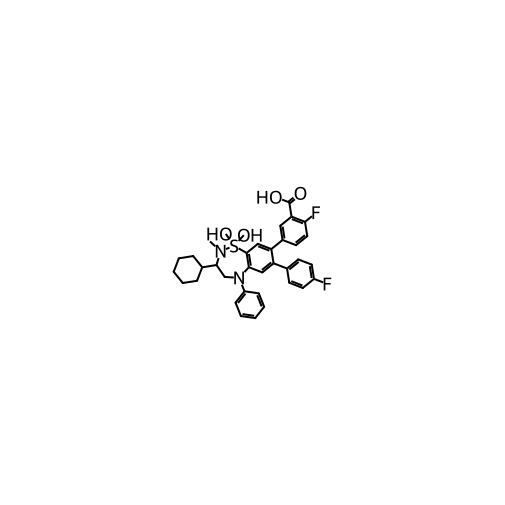 CN1C(C2CCCCC2)CN(c2ccccc2)c2cc(-c3ccc(F)cc3)c(-c3ccc(F)c(C(=O)O)c3)cc2S1(O)O